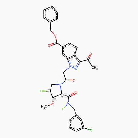 CO[C@H]1[C@@H](C(=O)N(F)Cc2cccc(Cl)c2)N(C(=O)Cn2nc(C(C)=O)c3ccc(C(=O)OCc4ccccc4)cc32)C[C@@H]1F